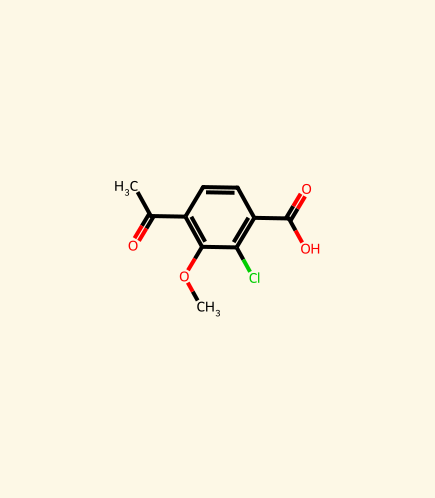 COc1c(C(C)=O)ccc(C(=O)O)c1Cl